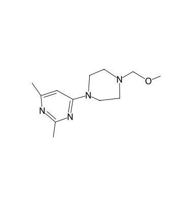 COCN1CCN(c2cc(C)nc(C)n2)CC1